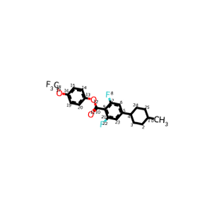 CC1CCC(c2cc(F)c(C(=O)Oc3ccc(OC(F)(F)F)cc3)c(F)c2)CC1